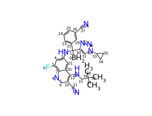 BC(Nc1cc(F)c2ncc(C#N)c(NCC(C)(C)C)c2c1)(c1cccc(C#N)c1)c1cn(C2CC2)nn1